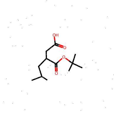 CC(C)CC(CC(=O)O)C(=O)OC(C)(C)C